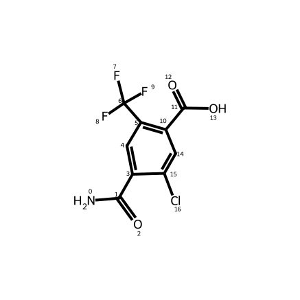 NC(=O)c1cc(C(F)(F)F)c(C(=O)O)cc1Cl